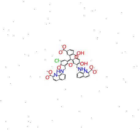 COC(=O)c1ccc(C(=O)O)c(-c2c3cc(Cl)c(=O)c(CNc4cccc5ccc(C(=O)OC)nc45)c-3oc3c(CNc4cccc5ccc(C(=O)OC)nc45)c(O)ccc23)c1